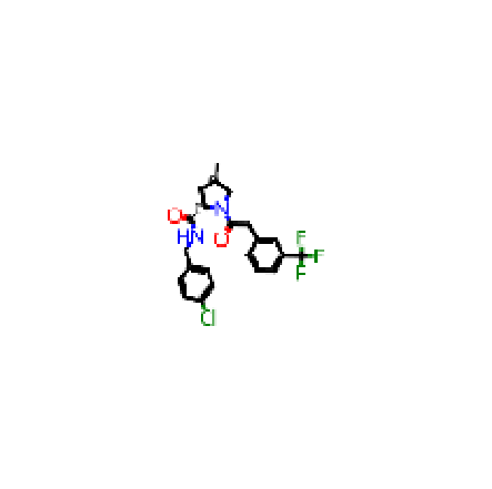 C[C@@H]1C[C@@H](C(=O)NCc2ccc(Cl)cc2)N(C(=O)Cc2cccc(C(F)(F)F)c2)C1